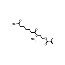 C=C(C)C(=O)OCCOC(=O)CCCCCC(=O)O.N